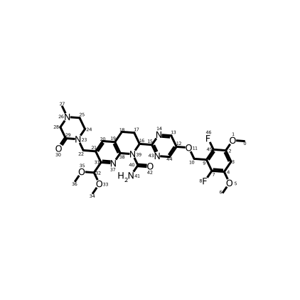 COc1cc(OC)c(F)c(COc2cnc(C3CCc4cc(CN5CCN(C)CC5=O)c(C(OC)OC)nc4N3C(N)=O)nc2)c1F